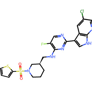 O=S(=O)(c1cccs1)N1CCC[C@H](CNc2nc(-c3c[nH]c4ncc(Cl)cc34)ncc2F)C1